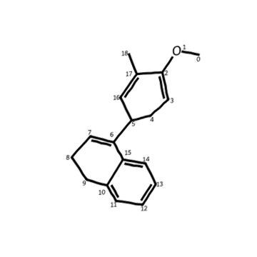 COC1=CCC(C2=CCCc3ccccc32)C=C1C